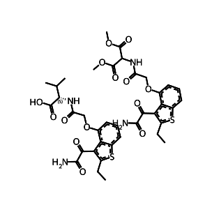 CCc1sc2cccc(OCC(=O)NC(C(=O)OC)C(=O)OC)c2c1C(=O)C(N)=O.CCc1sc2cccc(OCC(=O)N[C@H](C(=O)O)C(C)C)c2c1C(=O)C(N)=O